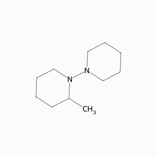 CC1CCCCN1N1CCCCC1